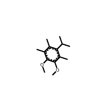 COc1c(C)c(C)c(C(C)C)c(C)c1OC